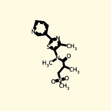 Cc1nc(-c2cccnc2)sc1N(C)C(=O)C(C)CS(C)(=O)=O